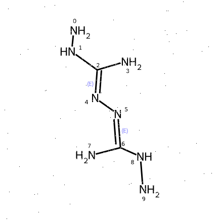 NN/C(N)=N/N=C(\N)NN